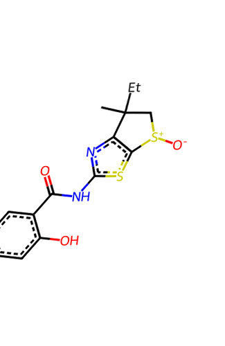 CCC1(C)C[S+]([O-])c2sc(NC(=O)c3ccccc3O)nc21